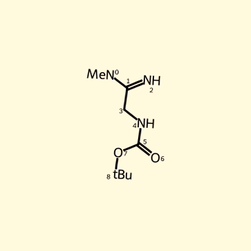 CNC(=N)CNC(=O)OC(C)(C)C